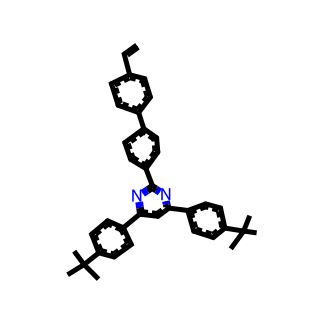 C=Cc1ccc(-c2ccc(-c3nc(-c4ccc(C(C)(C)C)cc4)cc(-c4ccc(C(C)(C)C)cc4)n3)cc2)cc1